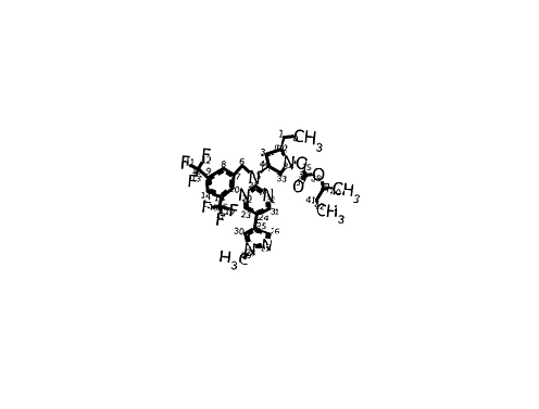 CC[C@@H]1C[C@H](N(Cc2cc(C(F)(F)F)cc(C(F)(F)F)c2)c2ncc(-c3cnn(C)c3)cn2)CN1OC(=O)O[C@@H](C)CC